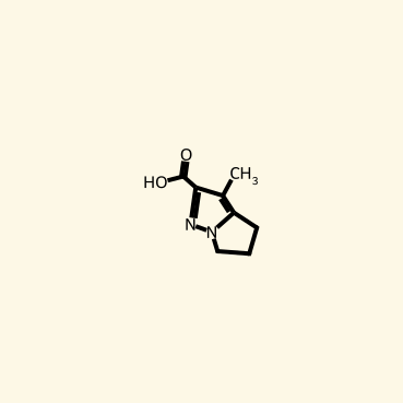 Cc1c(C(=O)O)nn2c1CCC2